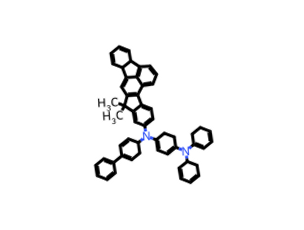 CC1(C)c2cc(N(C3=CC=C(N(C4=CC=CCC4)C4C=CC=CC4)CC3)C3C=CC(c4ccccc4)=CC3)ccc2-c2c1cc1c3c(cccc23)C2C=CC=CC12